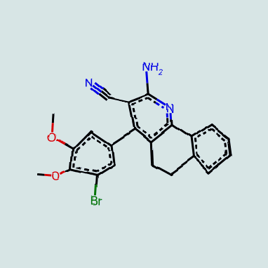 COc1cc(-c2c(C#N)c(N)nc3c2CCc2ccccc2-3)cc(Br)c1OC